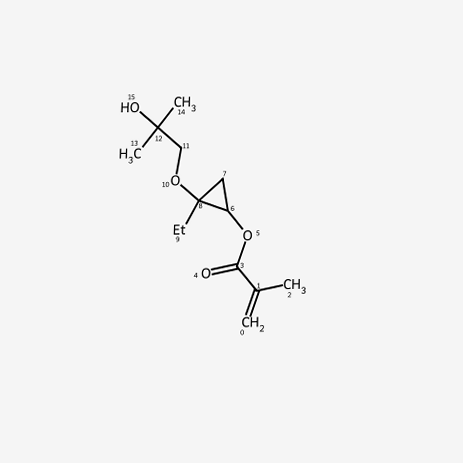 C=C(C)C(=O)OC1CC1(CC)OCC(C)(C)O